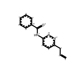 C=CCc1ccc(NC(=O)c2ccccc2)nn1